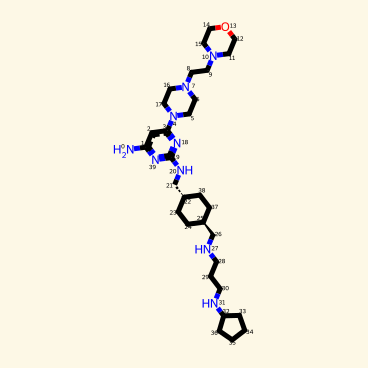 Nc1cc(N2CCN(CCN3CCOCC3)CC2)nc(NC[C@H]2CC[C@H](CNCCCNC3CCCC3)CC2)n1